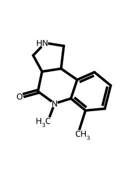 Cc1cccc2c1N(C)C(=O)C1CNCC21